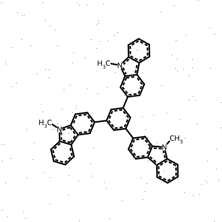 Cn1c2ccccc2c2cc(-c3cc(-c4ccc5c6ccccc6n(C)c5c4)cc(-c4ccc5c6ccccc6n(C)c5c4)c3)ccc21